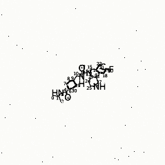 CC(C)NC(=O)c1ccc(CNC(=O)N(Cc2ccc(F)cc2)C2CCNCC2)cc1